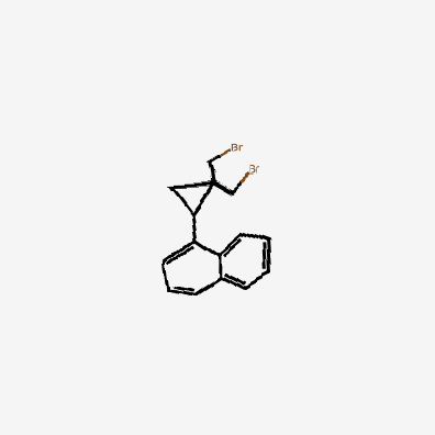 BrCC1(CBr)CC1c1cccc2ccccc12